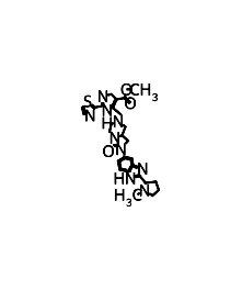 COC(=O)C1=C(CN2CCN3C(=O)N(c4ccc5[nH]c(C6CCCN6C)nc5c4)CC3C2)NC(c2nccs2)=NC1